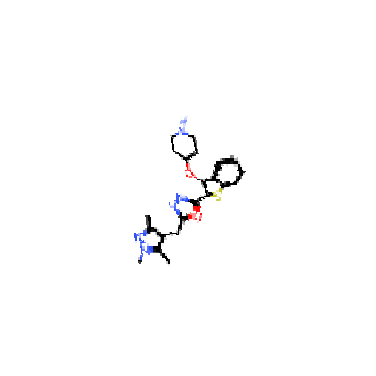 Cc1nn(C)c(C)c1Cc1nnc(-c2sc3ccccc3c2OC2CCNCC2)o1